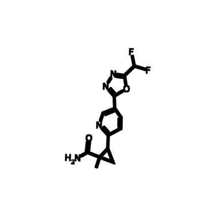 CC1(C(N)=O)CC1c1ccc(-c2nnc(C(F)F)o2)cn1